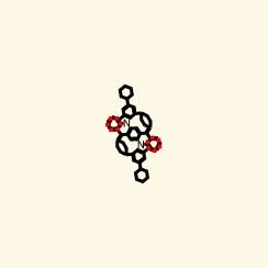 c1ccc2c(c1)C1=C3CCC(CC3)c3cc(C4CCCCC4)cc(C4CCCCC4)c3N3c4ccccc4C4=C5CCC(CC5)c5cc(C6CCCCC6)cc(C6CCCCC6)c5N2c2cc4c3cc21